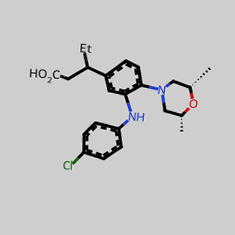 CCC(CC(=O)O)c1ccc(N2C[C@@H](C)O[C@@H](C)C2)c(Nc2ccc(Cl)cc2)c1